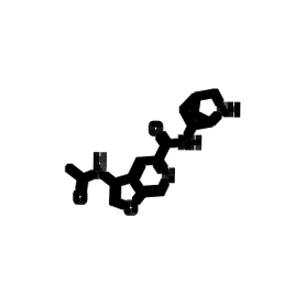 CC(=O)Nc1coc2cnc(C(=O)NC3CC4CNC3C4)cc12